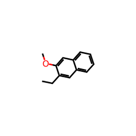 CCc1cc2ccccc2cc1OC